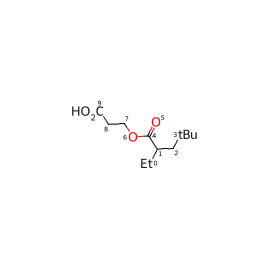 CCC(CC(C)(C)C)C(=O)OCCC(=O)O